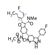 C=C/C=C(\C=C/CF)c1oc2cc(N(C)S(C)(=O)=O)c(-c3ccc4[nH]nc(-c5ccc(F)cc5)c4c3)cc2c1C(=O)NC